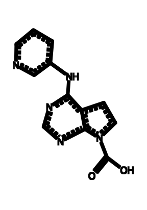 O=C(O)n1ccc2c(Nc3cccnc3)ncnc21